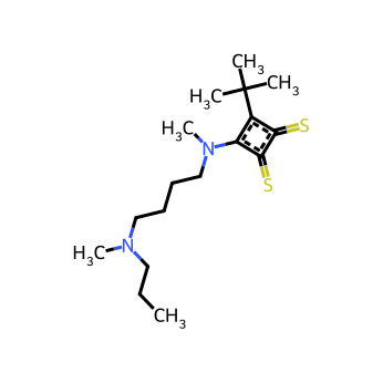 CCCN(C)CCCCN(C)c1c(C(C)(C)C)c(=S)c1=S